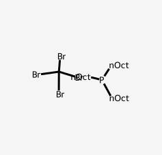 BrC(Br)(Br)Br.CCCCCCCCP(CCCCCCCC)CCCCCCCC